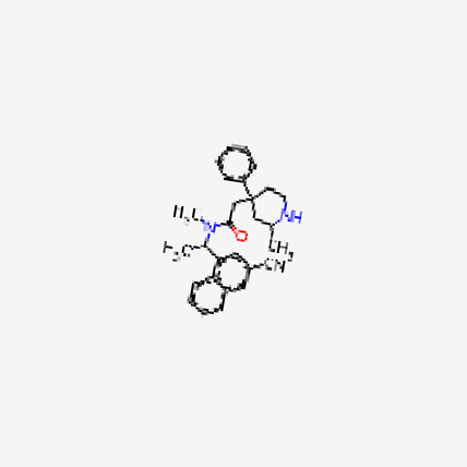 CC1CC(CC(=O)N(C)C(C)c2cc(C#N)cc3ccccc23)(c2ccccc2)CCN1